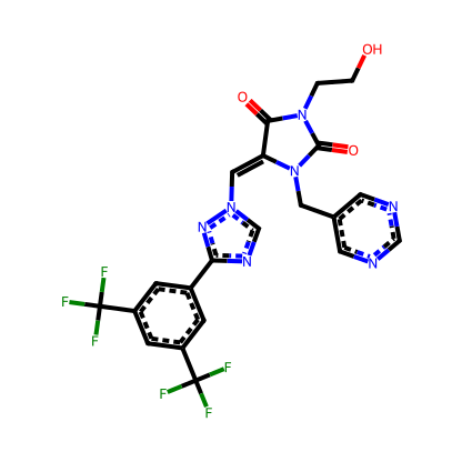 O=C1C(=Cn2cnc(-c3cc(C(F)(F)F)cc(C(F)(F)F)c3)n2)N(Cc2cncnc2)C(=O)N1CCO